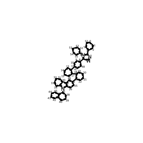 c1ccc(-c2nnc(-c3ccc(-c4ccccc4-c4ccccc4-c4ccc5c(c4)c4ccccc4n5-c4cccc5ccccc45)cc3)n2-c2ccccc2)cc1